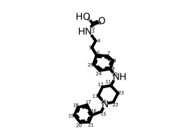 O=C(O)NCCc1ccc(NC2CCN(Cc3ccccc3)CC2)cc1